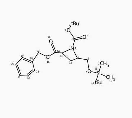 CC(C)(C)OC(=O)N1C(CO[Si](C)(C)C(C)(C)C)CC1C(=O)OCc1ccccc1